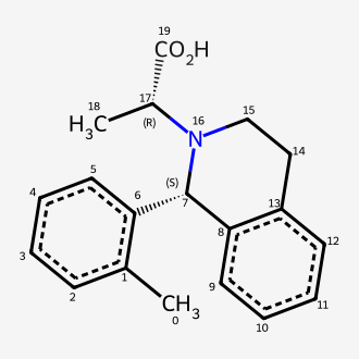 Cc1ccccc1[C@H]1c2ccccc2CCN1[C@H](C)C(=O)O